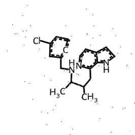 CC(Cc1nccc2cc[nH]c12)C(C)NCc1cccc(Cl)c1